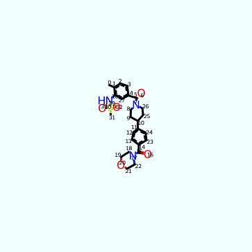 Cc1ccc(C(=O)N2CCC(c3ccc(C(=O)N4CCOCC4)cc3)CC2)cc1NS(C)(=O)=O